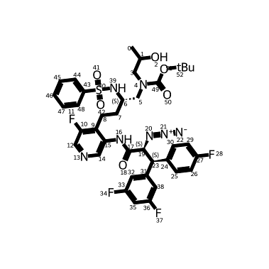 CC(O)CN(C[C@H](CCc1c(F)cncc1NC(=O)[C@@H](N=[N+]=[N-])[C@@H](c1ccc(F)cc1)c1cc(F)cc(F)c1)NS(=O)(=O)c1ccccc1)C(=O)OC(C)(C)C